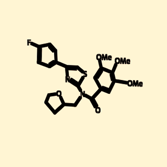 COc1cc(C(=O)N(CC2CCCO2)c2nc(-c3ccc(F)cc3)cs2)cc(OC)c1OC